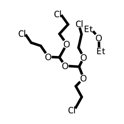 CCOCC.ClCCOC(OCCCl)OC(OCCCl)OCCCl